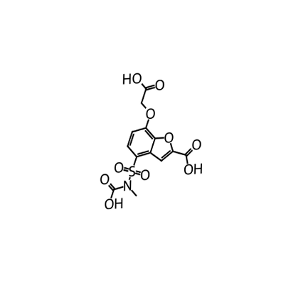 CN(C(=O)O)S(=O)(=O)c1ccc(OCC(=O)O)c2oc(C(=O)O)cc12